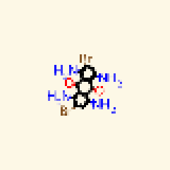 Nc1cc(Br)c(N)c2c1C(=O)c1c(N)cc(Br)c(N)c1C2=O